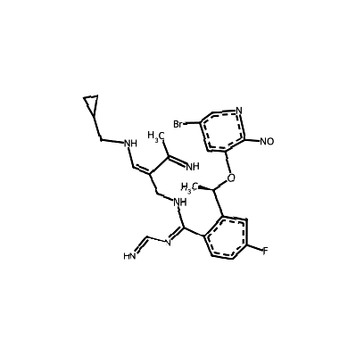 CC(=N)/C(=C\NCC1CC1)CN/C(=N\C=N)c1ccc(F)cc1[C@@H](C)Oc1cc(Br)cnc1N=O